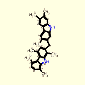 Cc1cc2[nH]c3cc(Cc4cc(C)c5c([nH]c6c(C)ccc(C)c65)c4C)c(C)cc3c2cc1C